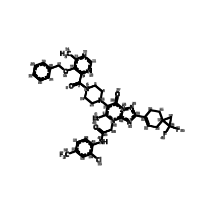 CCc1c(N2CCN(C(=O)c3ncnc(C)c3OCc3ccccc3)CC2)c(=O)n2nc(C3=CCC4(CC3)CC4(F)F)nc2n1CC(=O)Nc1ccc(C(F)(F)F)cc1Cl